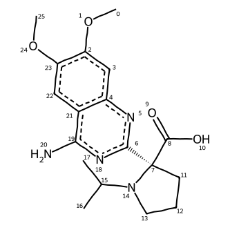 COc1cc2nc([C@]3(C(=O)O)CCCN3C(C)C)nc(N)c2cc1OC